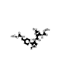 CCCCOC(=O)NCC1CCN(c2c(NC(=O)c3nc(Br)sc3NC(=O)OC(C)(C)C)cnn2C)CC1